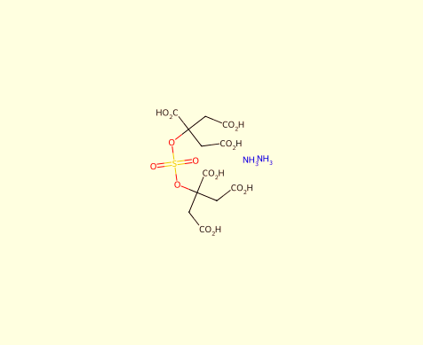 N.N.O=C(O)CC(CC(=O)O)(OS(=O)(=O)OC(CC(=O)O)(CC(=O)O)C(=O)O)C(=O)O